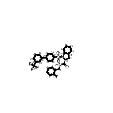 O=C(NCc1ccccc1F)[C@@H]1Cc2ccccc2N1S(=O)(=O)c1ccc(-c2cccc(C(F)(F)F)c2)cc1